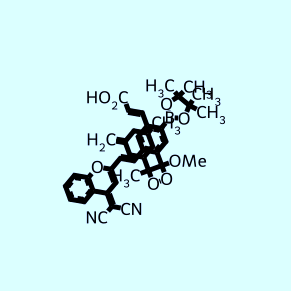 C=C1CC(C)CC(C2(C)OOC2(OC)c2cc(B3OC(C)(C)C(C)(C)O3)c(/C=C/C(=O)O)cc2/C=C/C2=CC(=C(C#N)C#N)c3ccccc3O2)C1